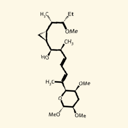 CC[C@H](OC)[C@@H](C)[C@H]1C[C@@H]1[C@H](O)[C@@H](C)/C=C/C=C(\C)[C@@H]1O[C@@H](OC)[C@H](OC)C[C@@H]1OC